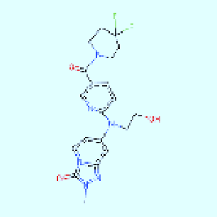 Cn1nc2cc(N(CCO)c3ccc(C(=O)N4CCC(F)(F)CC4)cn3)ccn2c1=O